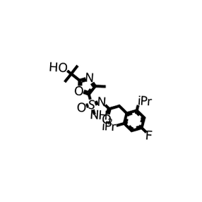 Cc1nc(C(C)(C)O)oc1S(N)(=O)=NC(=O)Cc1c(C(C)C)cc(F)cc1C(C)C